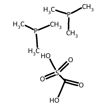 CP(C)C.CP(C)C.O=C(O)S(=O)(=O)O